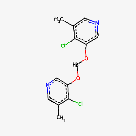 Cc1cncc(OBOc2cncc(C)c2Cl)c1Cl